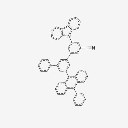 N#Cc1cc(-c2cc(-c3ccccc3)cc(-c3c4ccccc4c(-c4ccccc4)c4ccccc34)c2)cc(-n2c3ccccc3c3ccccc32)c1